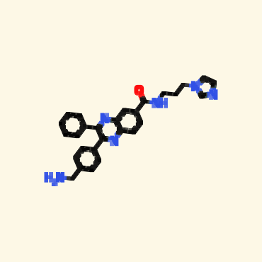 NCc1ccc(-c2nc3ccc(C(=O)NCCCn4ccnc4)cc3nc2-c2ccccc2)cc1